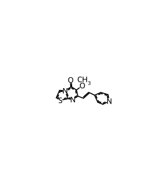 COc1c(/C=C/c2ccncc2)nc2sccn2c1=O